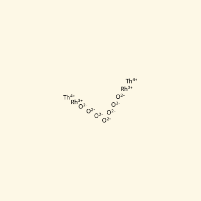 [O-2].[O-2].[O-2].[O-2].[O-2].[O-2].[O-2].[Rh+3].[Rh+3].[Th+4].[Th+4]